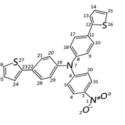 O=[N+]([O-])c1ccc(N(c2ccc(-c3cccs3)cc2)c2ccc(-c3cccs3)cc2)cc1